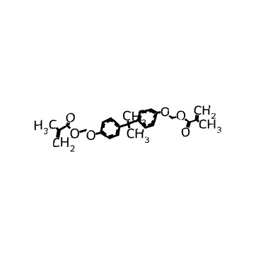 C=C(C)C(=O)OCOc1ccc(C(C)(C)c2ccc(OCOC(=O)C(=C)C)cc2)cc1